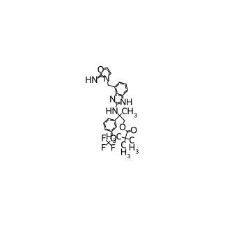 CC(C)(C)C(=O)OCC(C)(Nc1nc2c(Cn3ccoc3=N)cccc2[nH]1)c1cccc(OC(F)(F)F)c1